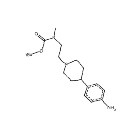 CN(CCN1CCC(c2ccc(N)cc2)CC1)C(=O)OC(C)(C)C